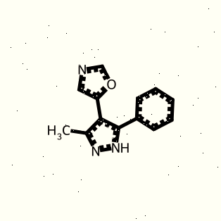 Cc1n[nH]c(-c2ccccc2)c1-c1cnco1